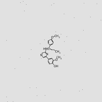 CCC[C@@H](Nc1cncc(-c2ccc(O)c(OC)c2)n1)c1ccc(OC)cc1